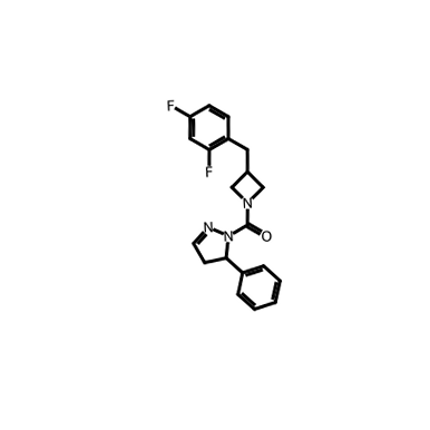 O=C(N1CC(Cc2ccc(F)cc2F)C1)N1N=CCC1c1ccccc1